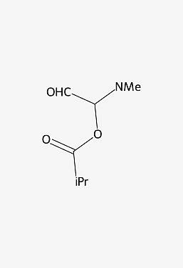 CNC(C=O)OC(=O)C(C)C